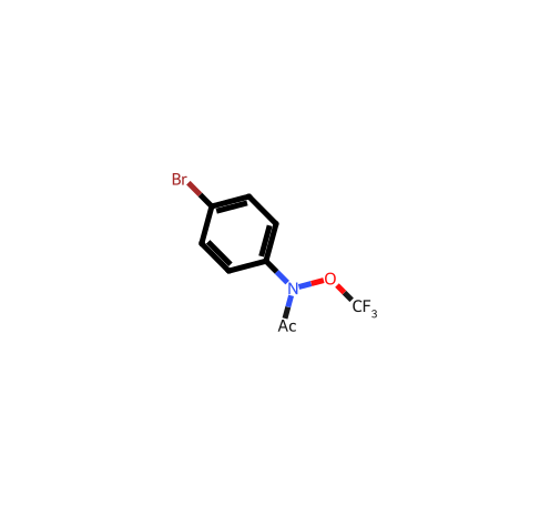 CC(=O)N(OC(F)(F)F)c1ccc(Br)cc1